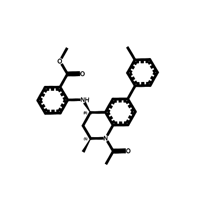 COC(=O)c1ccccc1N[C@@H]1C[C@H](C)N(C(C)=O)c2ccc(-c3cccc(C)c3)cc21